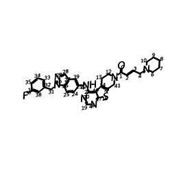 O=C(C=CCN1CCCCC1)N1CCc2c(sc3ncnc(Nc4ccc5c(cnn5Cc5cccc(F)c5)c4)c23)C1